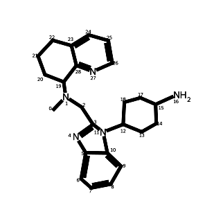 CN(Cc1nc2ccccc2n1C1CCC(N)CC1)C1CCCc2cccnc21